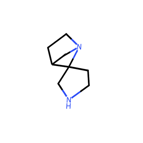 C1CC2(CN1)C1CCN2CC1